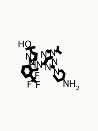 CC(C)n1cnc2c(NCc3c(-n4ccc(C(C)(C)O)n4)cccc3C(F)(F)F)nc(N3CCC(N)CC3)nc21